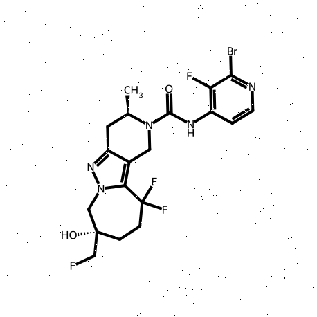 C[C@@H]1Cc2nn3c(c2CN1C(=O)Nc1ccnc(Br)c1F)C(F)(F)CC[C@@](O)(CF)C3